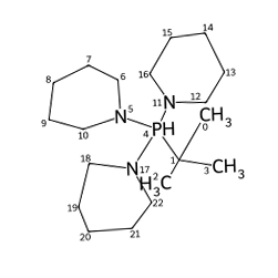 CC(C)(C)[PH](N1CCCCC1)(N1CCCCC1)N1CCCCC1